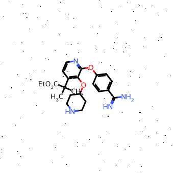 CCOC(=O)C(C)(C)c1ccnc(Oc2ccc(C(=N)N)cc2)c1OC1CCNCC1